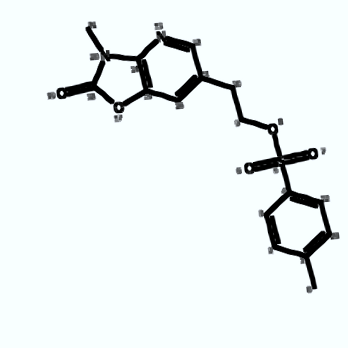 Cc1ccc(S(=O)(=O)OCCc2cnc3c(c2)oc(=O)n3C)cc1